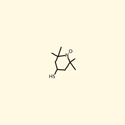 CC1(C)CC(S)CC(C)(C)N1[O]